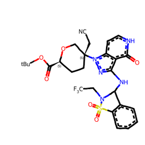 CC(C)(C)OC(=O)[C@@H]1CC[C@@](CC#N)(n2nc(NC3c4ccccc4S(=O)(=O)N3CC(F)(F)F)c3c(=O)[nH]ccc32)CO1